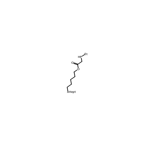 CCCCCCCCCCCCOC(=O)CPCC